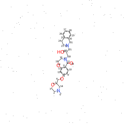 CN1CCOC(COc2ccc3c(c2)OCCN(C[C@H](O)CN2CCc4ccccc4C2)C3=O)C1